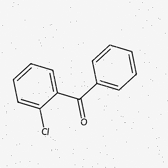 O=C(c1ccccc1)c1ccccc1Cl